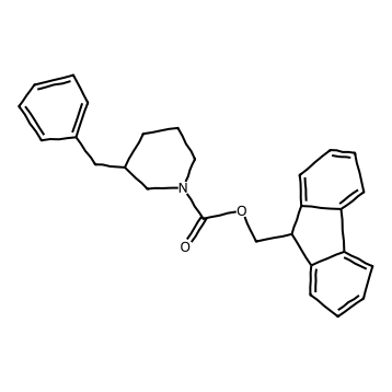 O=C(OCC1c2ccccc2-c2ccccc21)N1CCCC(Cc2ccccc2)C1